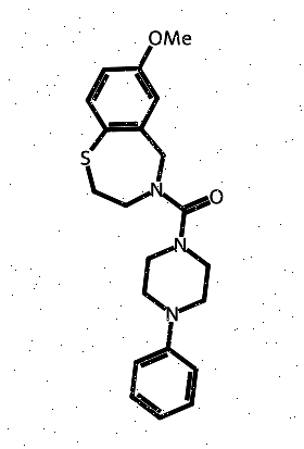 COc1ccc2c(c1)CN(C(=O)N1CCN(c3ccccc3)CC1)CCS2